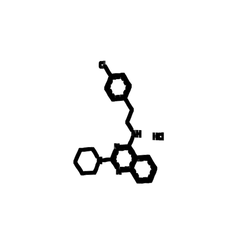 Cl.Clc1ccc(CCNc2nc(N3CCCCC3)nc3ccccc23)cc1